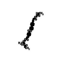 C=CC(=O)NCOC(=O)CC#Cc1ccc(-c2ccc(OC(=O)c3ccc(/C=C/C(=O)OCOC(=C)CNC(=O)C=C)cc3)cc2)cc1